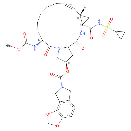 CC(C)(C)OC(=O)N[C@H]1CCCCC/C=C\[C@@H]2C[C@@]2(C(=O)NS(=O)(=O)C2CC2)NC(=O)C2C[C@@H](OC(=O)N3Cc4ccc5c(c4C3)OCO5)CN2C1=O